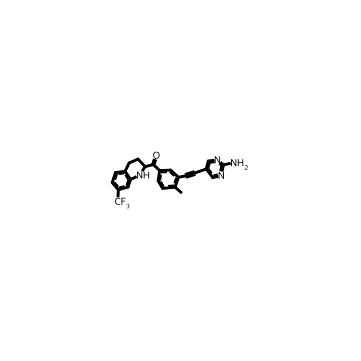 Cc1ccc(C(=O)C2CCc3ccc(C(F)(F)F)cc3N2)cc1C#Cc1cnc(N)nc1